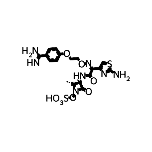 C[C@@H]1[C@H](NC(=O)C(=NOCCOc2ccc(C(=N)N)cc2)c2csc(N)n2)C(=O)N1OS(=O)(=O)O